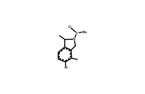 CC1c2ccc(Br)c(F)c2CN1[S+]([O-])C(C)(C)C